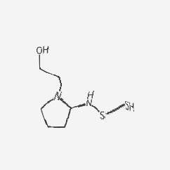 OCCN1CCC[C@@H]1NSS